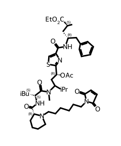 CCOC(=O)[C@@H](C)C[C@H](Cc1ccccc1)NC(=O)c1csc([C@@H](CC(C(C)C)N(C)C(=O)[C@@H](NC(=O)[C@H]2CCCCN2CCCCCCN2C(=O)C=CC2=O)[C@@H](C)CC)OC(C)=O)n1